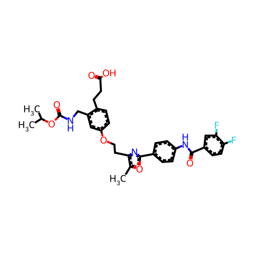 Cc1oc(-c2ccc(NC(=O)c3ccc(F)c(F)c3)cc2)nc1CCOc1ccc(CCC(=O)O)c(CNC(=O)OC(C)C)c1